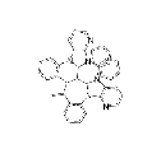 C=C1c2ccccc2N2c3ncccc3N(c3ccccc3)C2C2C1c1ccccc1N1c3cccnc3N(c3ccccc3)C21